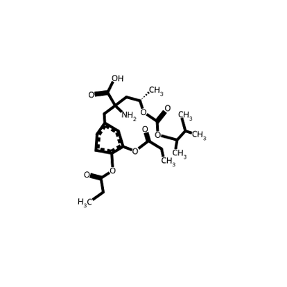 CCC(=O)Oc1ccc(CC(N)(C[C@H](C)OC(=O)OC(C)C(C)C)C(=O)O)cc1OC(=O)CC